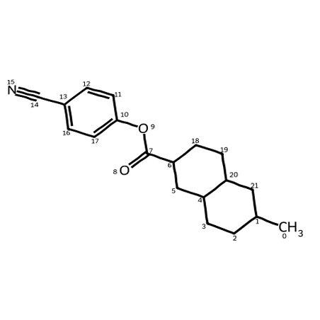 CC1CCC2CC(C(=O)Oc3ccc(C#N)cc3)CCC2C1